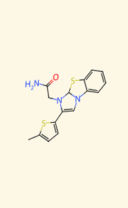 Cc1ccc(C2=CN3c4ccccc4SC3N2CC(N)=O)s1